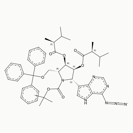 CC(C)[C@H](C)C(=O)O[C@@H]1[C@H](OC(=O)[C@@H](C)C(C)C)[C@@H](COC(c2ccccc2)(c2ccccc2)c2ccccc2)N(C(=O)OC(C)(C)C)[C@H]1c1c[nH]c2c(N=[N+]=[N-])ncnc12